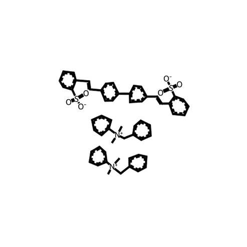 C[N+](C)(Cc1ccccc1)c1ccccc1.C[N+](C)(Cc1ccccc1)c1ccccc1.O=S(=O)([O-])c1ccccc1C=Cc1ccc(-c2ccc(/C=C/c3ccccc3S(=O)(=O)[O-])cc2)cc1